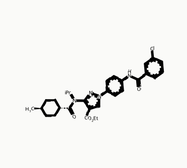 CCOC(=O)c1cn(-c2ccc(NC(=O)c3cccc(Cl)c3)cc2)nc1N(C(=O)[C@H]1CC[C@H](C)CC1)C(C)C